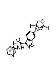 O=C(N[C@@H]1CN2CCC1CC2)c1nsc2cc(N3C[C@@H]4C[C@H]3CO4)ccc12